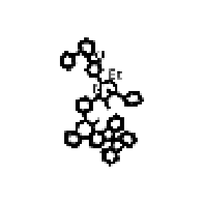 CCC1C/C(c2ccccc2)=C(\C)C(C)/C(c2cccc(C3Cc4ccccc4-c4ccc5c(c4C3C)-c3ccccc3C53c4ccccc4-c4ccccc43)c2)=N\C1C1C=c2oc3cccc(-c4ccccc4)c3c2=CC1